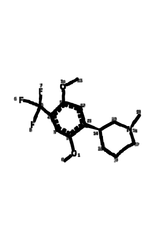 COc1cc(C(F)(F)F)c(OC)cc1[C@@H]1CCCN(C)C1